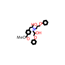 COC(=O)c1ccc(CC(C)N(CC(O)COc2ccccc2)CC(O)COc2ccccc2)cc1